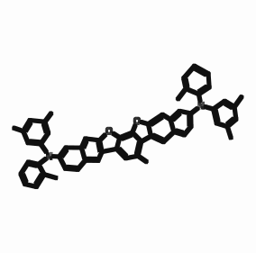 Cc1cc(C)cc(N(c2ccc3cc4c(cc3c2)oc2c4cc(C)c3c4cc5ccc(N(c6cc(C)cc(C)c6)c6ccccc6C)cc5cc4oc23)c2ccccc2C)c1